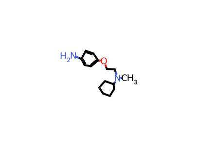 CN(CCOc1ccc(N)cc1)C1CCCCC1